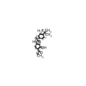 COC(=O)c1ccc(NS(=O)(=O)c2ccc(C(C)(C)C)cc2)cc1O